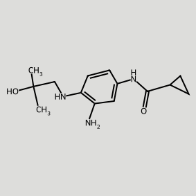 CC(C)(O)CNc1ccc(NC(=O)C2CC2)cc1N